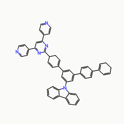 C1=CC(c2ccc(-c3cc(C4=CCC(c5nc(-c6ccncc6)cc(-c6ccncc6)n5)C=C4)cc(-n4c5ccccc5c5ccccc54)c3)cc2)=CCC1